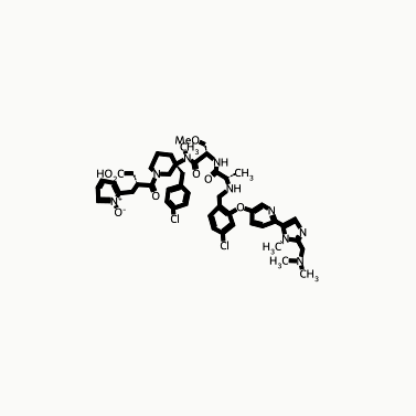 COC[C@H](NC(=O)[C@H](C)NCc1ccc(Cl)cc1Oc1ccc(-c2cnc(CN(C)C)n2C)nc1)C(=O)N(C)[C@@]1(Cc2ccc(Cl)cc2)CCCN(C(=O)[C@@H](CC(=O)O)Cc2cccc[n+]2[O-])C1